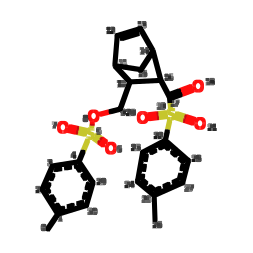 Cc1ccc(S(=O)(=O)OCC2C3C=CC(C3)C2C(=O)S(=O)(=O)c2ccc(C)cc2)cc1